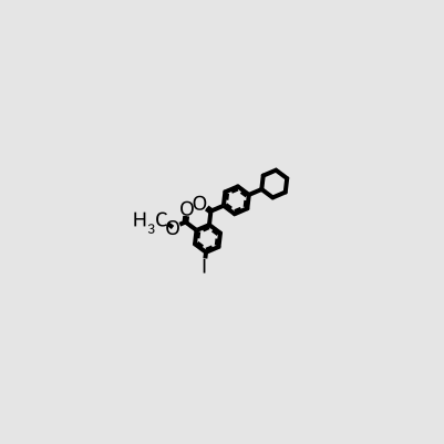 COC(=O)c1cc(I)ccc1C(=O)c1ccc(C2CCCCC2)cc1